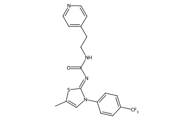 Cc1cn(-c2ccc(C(F)(F)F)cc2)c(=NC(=O)NCCc2ccncc2)s1